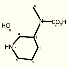 CN(C(=O)O)C1CCCNC1.Cl